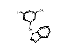 C1=Cc2ccccc2C1.Cc1cc(C)cc(C)c1